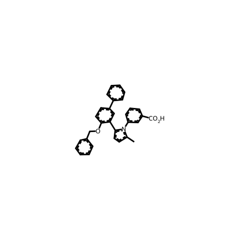 Cc1ccc(-c2cc(-c3ccccc3)ccc2OCc2ccccc2)n1-c1cccc(C(=O)O)c1